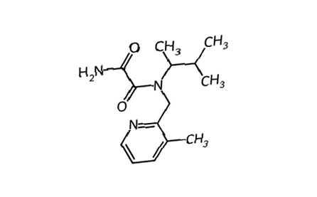 Cc1cccnc1CN(C(=O)C(N)=O)C(C)C(C)C